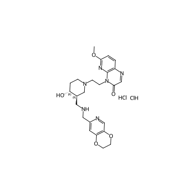 COc1ccc2ncc(=O)n(CCN3CC[C@@H](O)[C@H](CNCc4cc5c(cn4)OCCO5)C3)c2n1.Cl.Cl